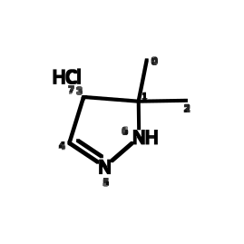 CC1(C)CC=NN1.Cl